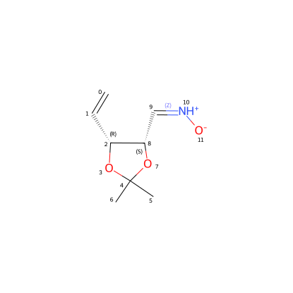 C=C[C@H]1OC(C)(C)O[C@H]1/C=[NH+]\[O-]